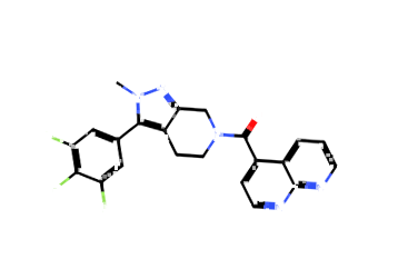 Cn1nc2c(c1-c1cc(F)c(F)c(F)c1)CCN(C(=O)c1ccnc3ncccc13)C2